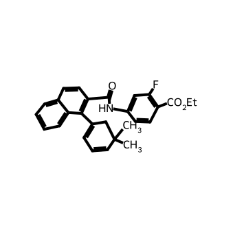 CCOC(=O)c1ccc(NC(=O)c2ccc3ccccc3c2C2=CC=CC(C)(C)C2)cc1F